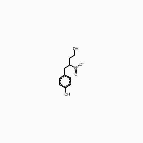 O=[N+]([O-])C(CCO)Cc1ccc(O)cc1